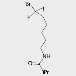 CC(C)C(=O)NCCCCC1CC1(F)Br